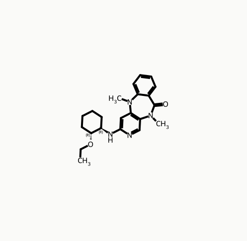 CCO[C@@H]1CCCC[C@H]1Nc1cc2c(cn1)N(C)C(=O)c1ccccc1N2C